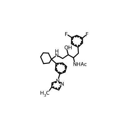 CC(=O)NC(Cc1cc(F)cc(F)c1)C(O)CNC1(c2cccc(-n3cc(C)cn3)c2)CCCCC1